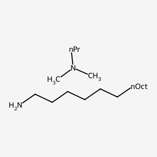 CCCCCCCCCCCCCCN.CCCN(C)C